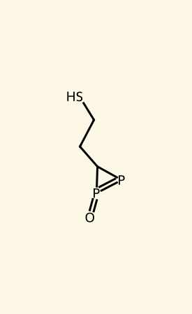 O=P1=PC1CCS